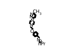 CCCON=Cc1ccc(OCCN2CCN(c3ccc(C)nn3)CC2)cc1